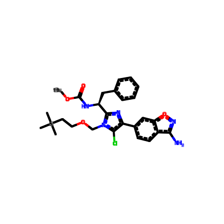 CC(C)(C)OC(=O)N[C@@H](Cc1ccccc1)c1nc(-c2ccc3c(N)noc3c2)c(Cl)n1COCC[Si](C)(C)C